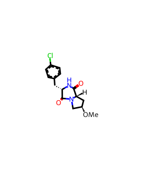 CO[C@@H]1C[C@H]2C(=O)N[C@@H](Cc3ccc(Cl)cc3)C(=O)N2C1